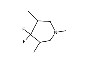 CC1CN(C)CC(C)C1(F)F